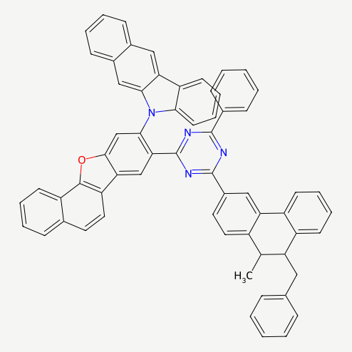 CC1c2ccc(-c3nc(-c4ccccc4)nc(-c4cc5c(cc4-n4c6ccccc6c6cc7ccccc7cc64)oc4c6ccccc6ccc54)n3)cc2-c2ccccc2C1Cc1ccccc1